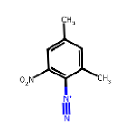 Cc1cc(C)c([N+]#N)c([N+](=O)[O-])c1